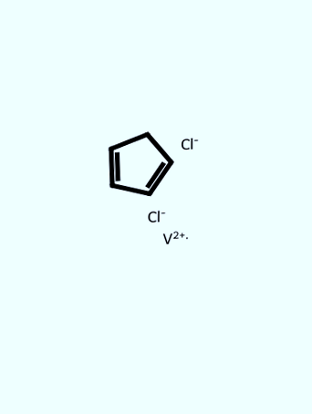 C1=CCC=C1.[Cl-].[Cl-].[V+2]